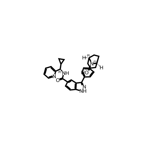 O=C(N[C@@H](c1ccccn1)C1CC1)c1ccc2[nH]nc(-c3ccc(N4[C@@H]5CC[C@H]4CC(O)C5)cc3)c2c1